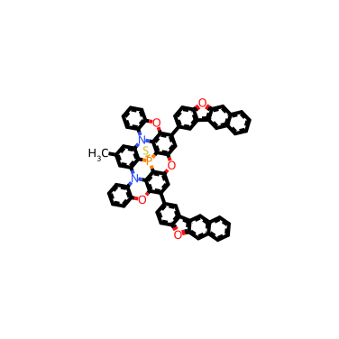 Cc1cc2c3c(c1)N1c4ccccc4Oc4c(-c5ccc6oc7cc8ccccc8cc7c6c5)cc5c(c41)P3(=S)c1c(cc(-c3ccc4oc6cc7ccccc7cc6c4c3)c3c1N2c1ccccc1O3)O5